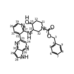 O=C(OCc1ccccc1)N1CCC(O)C(Nc2ncccc2-c2cnc3[nH]ccc3n2)C1